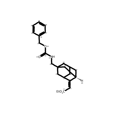 CCOC(=O)/C=C1\C2CC3C[C@@H]1CC(CNC(=O)OCc1ccccc1)(C3)C2